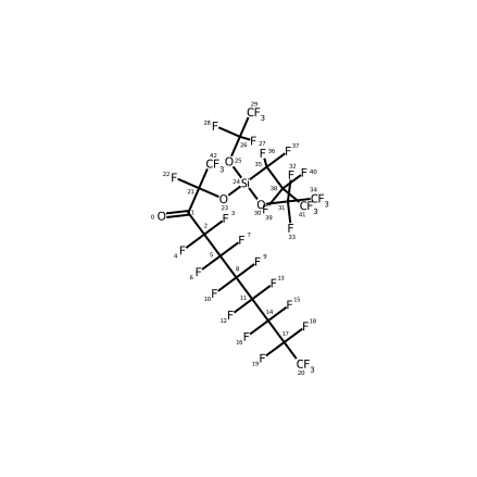 O=C(C(F)(F)C(F)(F)C(F)(F)C(F)(F)C(F)(F)C(F)(F)C(F)(F)F)C(F)(O[Si](OC(F)(F)C(F)(F)F)(OC(F)(F)C(F)(F)F)C(F)(F)C(F)(F)C(F)(F)F)C(F)(F)F